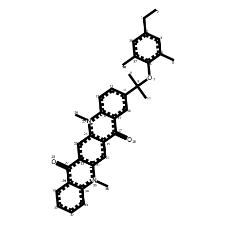 CCc1cc(C)c(OC(C)(C)c2ccc3c(c2)c(=O)c2cc4c(cc2n3C)c(=O)c2ccccc2n4C)c(C)c1